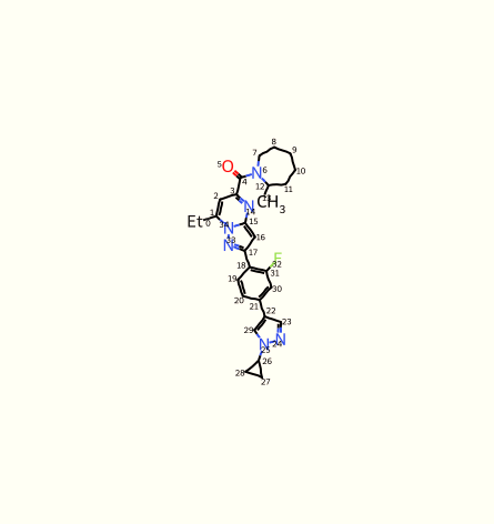 CCc1cc(C(=O)N2CCCCCC2C)nc2cc(-c3ccc(-c4cnn(C5CC5)c4)cc3F)nn12